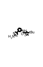 Cn1nc(C(C)(C)C)cc1C(=O)Nc1cccc(-c2cnc(N)nc2)c1